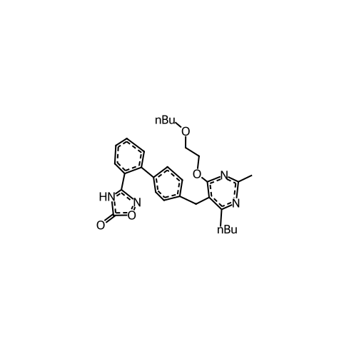 CCCCOCCOc1nc(C)nc(CCCC)c1Cc1ccc(-c2ccccc2-c2noc(=O)[nH]2)cc1